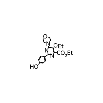 CCOC(=O)c1nc(-c2ccc(O)cc2)nc(N2CCOCC2)c1OCC